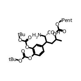 CCCC(C)OC(=O)OC(C)CC(c1ccc(OC(=O)OC(C)(C)C)c(OC(=O)OC(C)(C)C)c1)[C@H](N)C(=O)O